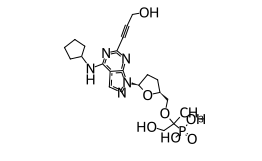 CC(CO)(OC[C@@H]1CC[C@H](n2ncc3c(NC4CCCC4)nc(C#CCO)nc32)O1)P(=O)(O)O